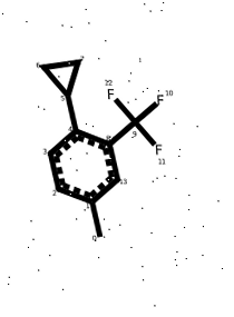 [CH2]c1ccc(C2CC2)c(C(F)(F)F)c1